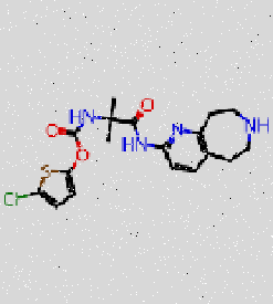 CC(C)(NC(=O)Oc1ccc(Cl)s1)C(=O)Nc1ccc2c(n1)CCNCC2